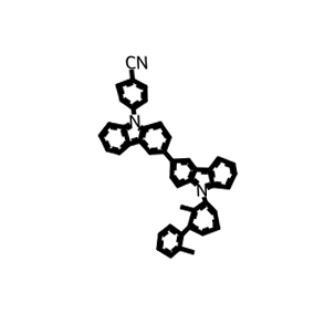 Cc1ccccc1-c1cccc(-n2c3ccccc3c3cc(-c4ccc5c(c4)c4ccccc4n5-c4ccc(C#N)cc4)ccc32)c1C